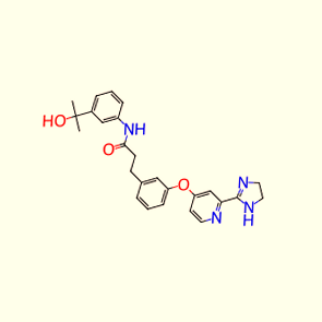 CC(C)(O)c1cccc(NC(=O)CCc2cccc(Oc3ccnc(C4=NCCN4)c3)c2)c1